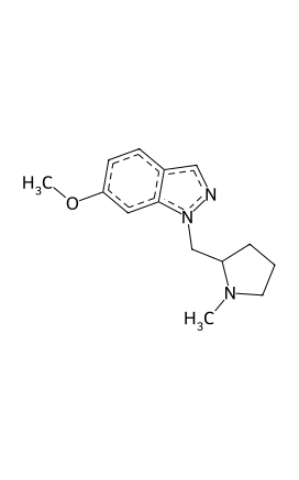 COc1ccc2cnn(CC3CCCN3C)c2c1